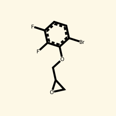 Fc1ccc(Br)c(OCC2CO2)c1F